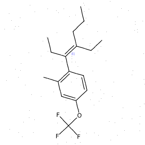 CCC/C(CC)=C(\CC)c1ccc(OC(F)(F)F)cc1C